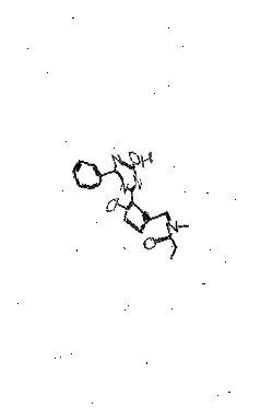 CCC(=O)N(C)Cc1ccc(Cl)c(-c2nc(O)nc(-c3ccccc3)n2)c1